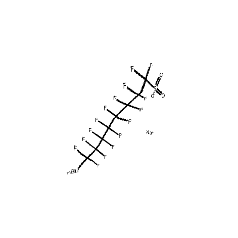 CCCCC(F)(F)C(F)(F)C(F)(F)C(F)(F)C(F)(F)C(F)(F)C(F)(F)C(F)(F)S(=O)(=O)[O-].[Na+]